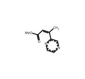 COC(=O)/C=C(/C)c1cnccn1